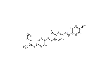 CCCN(C)Cc1ccc(CCn2ccc(/C=C/c3ccc(F)cc3)cc2=O)cc1